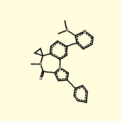 CN(C)c1ncccc1-c1ccc2c(c1)-n1cc(-c3ccccc3)cc1C(=O)N(C)C21CC1